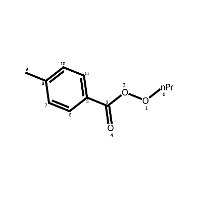 [CH2]CCOOC(=O)c1ccc(C)cc1